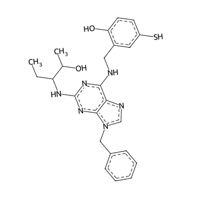 CCC(Nc1nc(NCc2cc(S)ccc2O)c2ncn(Cc3ccccc3)c2n1)C(C)O